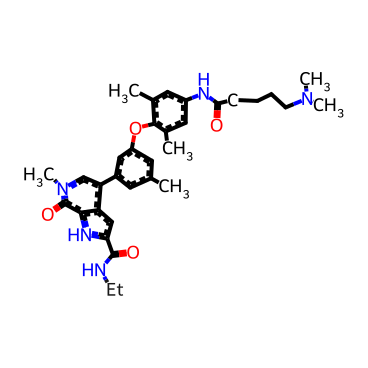 CCNC(=O)c1cc2c(-c3cc(C)cc(Oc4c(C)cc(NC(=O)CCCCN(C)C)cc4C)c3)cn(C)c(=O)c2[nH]1